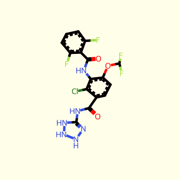 O=C(NC1=NNNN1)c1ccc(OC(F)F)c(NC(=O)c2c(F)cccc2F)c1Cl